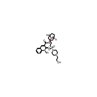 CC(C)n1c(=O)c(C(=O)N[C@@H]2C[C@H]3CC[C@@H](C2)N3CCCS(=O)(=O)N2CCN(CCO)CC2)cc2ccccc21